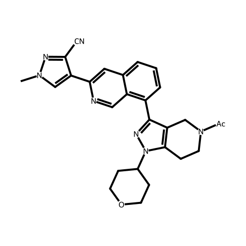 CC(=O)N1CCc2c(c(-c3cccc4cc(-c5cn(C)nc5C#N)ncc34)nn2C2CCOCC2)C1